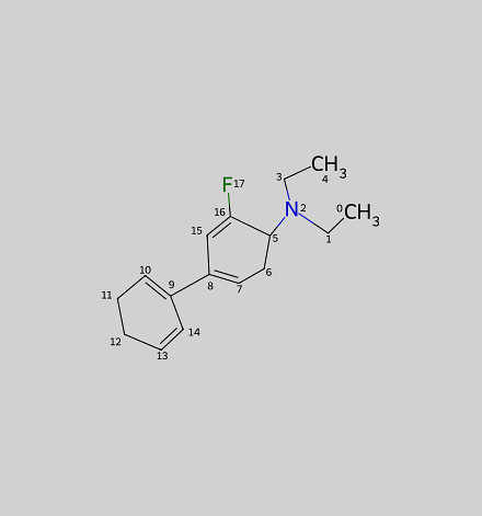 CCN(CC)C1CC=C(C2=CCCC=C2)C=C1F